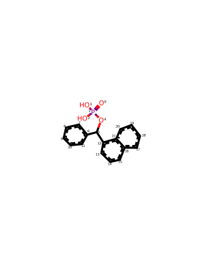 O=P(O)(O)OC(c1ccccc1)c1cccc2ccccc12